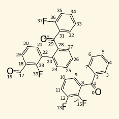 O=C(c1ccccc1)c1cccc(F)c1F.O=Cc1cccc(-c2ccccc2C(=O)c2ccccc2F)c1F